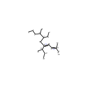 CCCC(C)C(CC)C/C(=C/C=C(\C)F)C(C)CC